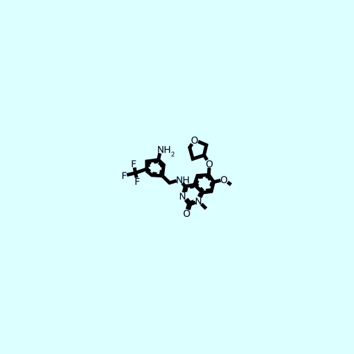 COc1cc2c(cc1OC1CCOC1)c(NCc1cc(N)cc(C(F)(F)F)c1)nc(=O)n2C